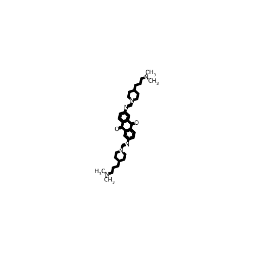 CN(C)CCCC1CCN(C=Nc2ccc3c(c2)C(=O)c2ccc(N=CN4CCC(CCCN(C)C)CC4)cc2C3=O)CC1